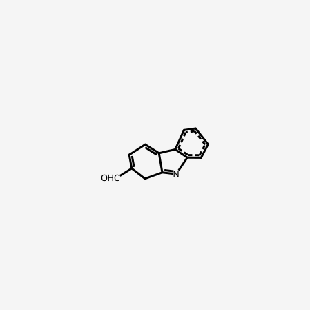 O=CC1=CC=C2C(=Nc3ccccc32)C1